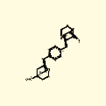 O=CC12CCN(CC1)/C(=C\c1ccc(/C=C3/C(=O)C4CCN3CC4)cc1)C2